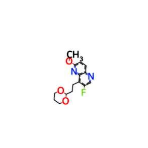 COc1ccc2ncc(F)c(CCC3OCCCO3)c2n1